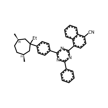 CCC1(c2ccc(-c3nc(-c4ccccc4)nc(-c4ccc(C#N)c5ccccc45)n3)cc2)C[C@H](C)CC[C@H](C)C1